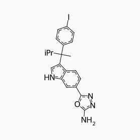 CC(C)C(C)(c1ccc(I)cc1)c1c[nH]c2cc(-c3nnc(N)o3)ccc12